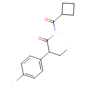 CCC(C(=O)NC(=O)C1CCC1)c1ccc(Br)cc1